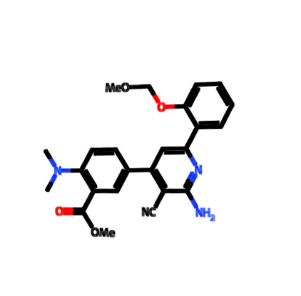 COCOc1ccccc1-c1cc(-c2ccc(N(C)C)c(C(=O)OC)c2)c(C#N)c(N)n1